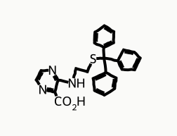 O=C(O)c1nccnc1NCCSC(c1ccccc1)(c1ccccc1)c1ccccc1